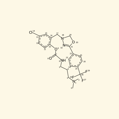 CN(C)CCCNC(=O)Oc1ccc(Cl)cc1CN1COC(c2ccc(C(F)(F)F)cc2)=N1